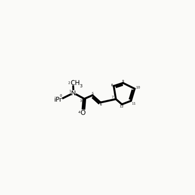 CC(C)N(C)C(=O)/C=C/C1C=CC=CC1